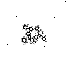 c1ccc(C2=N/C(c3ccccc3)CCC/C(c3cccc(-c4cc(-c5ccc6c(c5)c5ccccc5n6-c5ccccc5)c5c(c4)oc4ccccc45)c3)=N\2)cc1